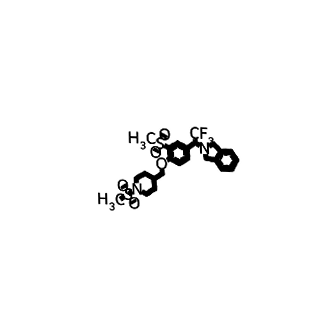 CS(=O)(=O)c1cc(C(N2Cc3ccccc3C2)C(F)(F)F)ccc1OCC1CCN(S(C)(=O)=O)CC1